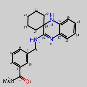 CNC(=O)c1cccc(CNC2=Nc3ccccc3NC23CCCCC3)c1